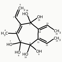 C=CC1=C(C)C(O)(O)C(O)(O)C(=C/C)/C(=C\C)C1(O)O